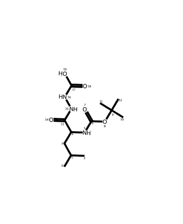 CC(C)CC(NC(=O)OC(C)(C)C)C(=O)NNC(=O)O